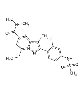 CCc1cc(C(=O)N(C)C)nc2c(C)c(-c3ccc(NS(C)(=O)=O)cc3F)nn12